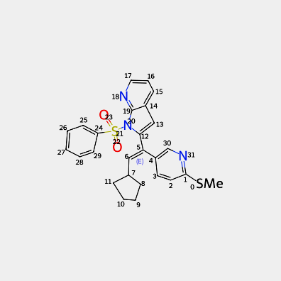 CSc1ccc(/C(=C\C2CCCC2)c2cc3cccnc3n2S(=O)(=O)c2ccccc2)cn1